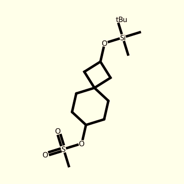 CC(C)(C)[Si](C)(C)OC1CC2(CCC(OS(C)(=O)=O)CC2)C1